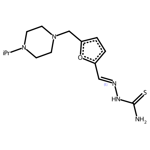 CC(C)N1CCN(Cc2ccc(/C=N/NC(N)=S)o2)CC1